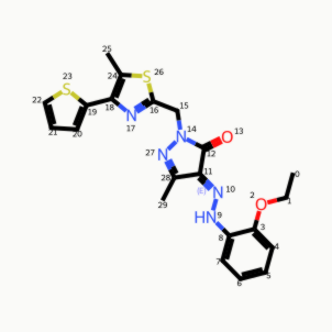 CCOc1ccccc1N/N=C1/C(=O)N(Cc2nc(-c3cccs3)c(C)s2)N=C1C